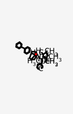 CC1=C(C)C(C)[C]([Hf]([CH3])([NH]C23CC4CC(CC(C4)C2)C3)[GeH2][c]2ccccc2)=C1C.c1ccc(-c2ccccc2)cc1